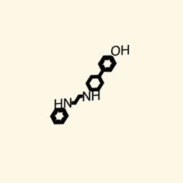 Oc1ccc(C2CCC(NCCNc3ccccc3)CC2)cc1